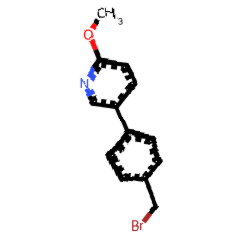 COc1ccc(-c2ccc(CBr)cc2)cn1